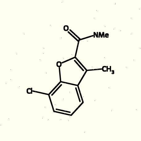 CNC(=O)c1oc2c(Cl)cccc2c1C